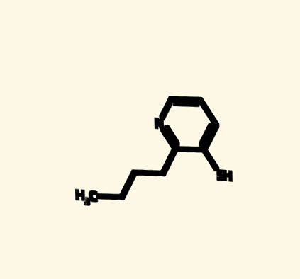 CCCCc1ncccc1S